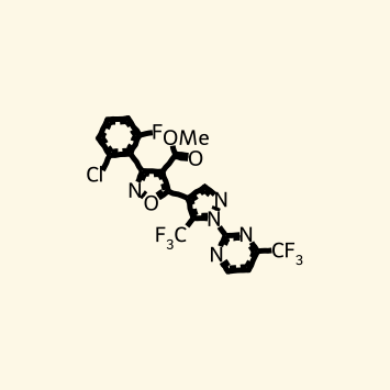 COC(=O)c1c(-c2c(F)cccc2Cl)noc1-c1cnn(-c2nccc(C(F)(F)F)n2)c1C(F)(F)F